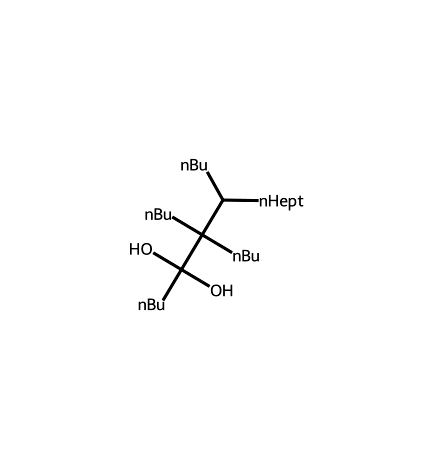 CCCCCCCC(CCCC)C(CCCC)(CCCC)C(O)(O)CCCC